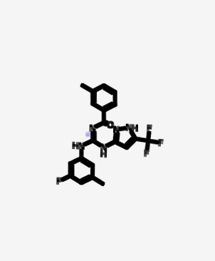 Cc1cc(F)cc(N/C(=N/C(=O)c2cccc(C)c2)Nc2cc(C(F)(F)F)[nH]n2)c1